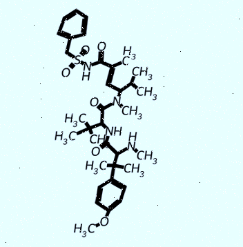 CNC(C(=O)NC(C(=O)N(C)C(C=C(C)C(=O)NS(=O)(=O)Cc1ccccc1)C(C)C)C(C)(C)C)C(C)(C)c1ccc(OC)cc1